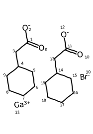 O=C([O-])CC1CCCCC1.O=C([O-])CC1CCCCC1.[Br-].[Ga+3]